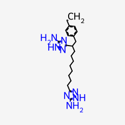 C=Cc1ccc(CC(CCCCCCCCc2n[nH]c(N)n2)c2n[nH]c(N)n2)cc1